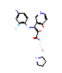 O=C(NOC[C@@H]1CCCN1)c1oc2ccncc2c1Nc1ccc(I)cc1F